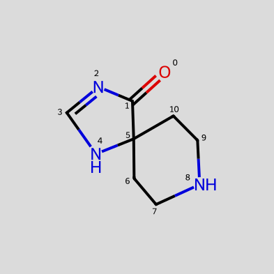 O=C1N=CNC12CCNCC2